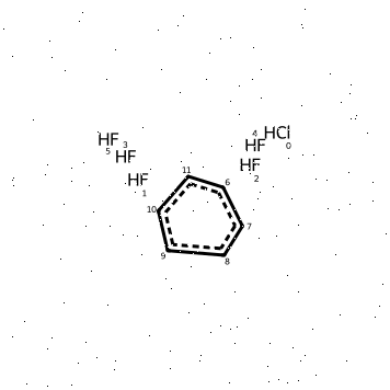 Cl.F.F.F.F.F.c1ccccc1